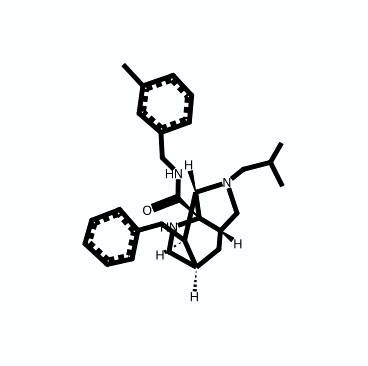 Cc1cccc(CNC(=O)[C@]23NC[C@@H]4C[C@H]2CN(CC(C)C)[C@H]3[C@@H]4Cc2ccccc2)c1